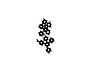 C=Cc1ccc(-c2cc(-c3ccccc3)cc(-c3ccccc3)c2-c2ccc(N(c3ccccc3)c3cccc4c5c(ccc34)C3(c4ccccc4-c4ccccc43)c3ccccc3-5)cc2)cc1